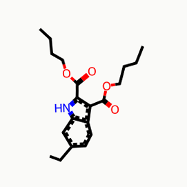 CCCCOC(=O)c1[nH]c2cc(CC)ccc2c1C(=O)OCCCC